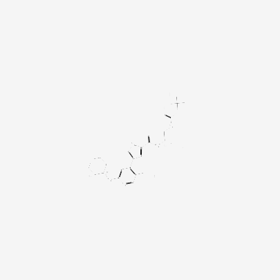 Cc1cnc(N[C@@H]2CCOC[C@H]2F)cc1-c1c[nH]c(C(=O)N[C@@H](C)CNC(=O)OC(C)(C)C)c1